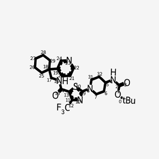 CC(C)(C)OC(=O)NC1CCN(c2nc(C(F)(F)F)c(C(=O)NCC3(c4cccnc4)CCCCC3)s2)CC1